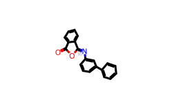 O=C1O/C(=N\c2cccc(-c3ccccc3)c2)c2ccccc21